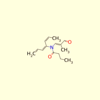 C=C/C=C(\C=C/C)N(/C=C(\C)C=O)C(=O)CCC